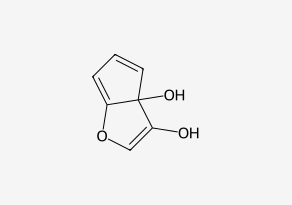 OC1=COC2=CC=CC12O